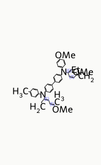 C=C/C(=C\C=C(/C)OC)N(c1ccc(C)cc1)c1ccc(-c2ccc(N(C(/C=C\C(=C)OC)=C/CC)c3ccc(OC)cc3)cc2)cc1